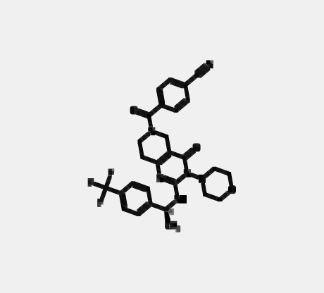 C[C@H](Nc1nc2c(c(=O)n1N1CCOCC1)CN(C(=O)c1ccc(C#N)cc1)CC2)c1ccc(C(F)(F)F)cc1